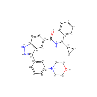 O=C(NC(c1ccccc1)C1CC1)c1ccc2[nH]nc(-c3cccc(N4CCOCC4)c3)c2c1